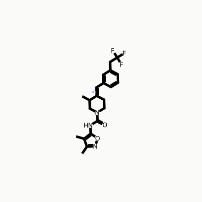 Cc1noc(NC(=O)N2CC/C(=C\c3cccc(CC(F)(F)F)c3)C(C)C2)c1C